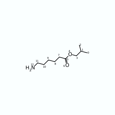 CC(C)COC(=O)CCCCCN